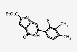 CCOC(=O)c1cc2c(=O)[nH]c(-c3ccc(C)c(C)c3F)cn2n1